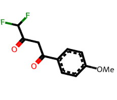 COc1ccc(C(=O)CC(=O)C(F)F)cc1